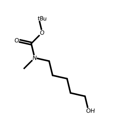 CN(CCCCCO)C(=O)OC(C)(C)C